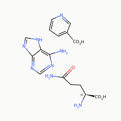 NC(=O)CC[C@H](N)C(=O)O.Nc1ncnc2nc[nH]c12.O=C(O)c1cccnc1